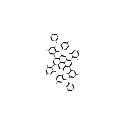 Cc1cc(C)c(-c2cc3c4c(cc5c(-c6c(C)cc(C)cc6C)cc6c7c(cc2c4c57)B2c4ccc(Br)cc4N(c4ccccc4)c4cc(Br)cc-6c42)B2c4ccc(Br)cc4N(c4ccccc4)c4cc(Br)cc-3c42)c(C)c1